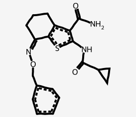 NC(=O)c1c(NC(=O)C2CC2)sc2c1CCC/C2=N/OCc1ccccc1